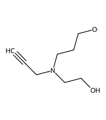 C#CCN(CCO)CCC[O]